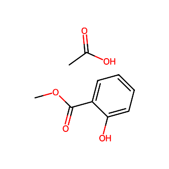 CC(=O)O.COC(=O)c1ccccc1O